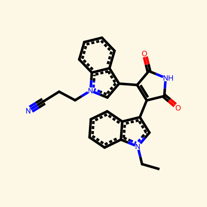 CCn1cc(C2=C(c3cn(CCC#N)c4ccccc34)C(=O)NC2=O)c2ccccc21